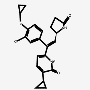 O=C1CC[C@H](/C=C(\c2ccc(SC3CC3)c(Cl)c2)c2ccc(C3CC3)c(=O)[nH]2)N1